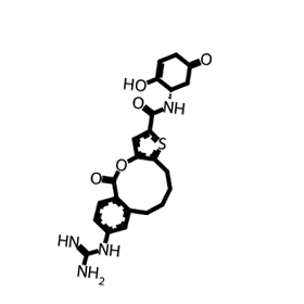 N=C(N)Nc1ccc2c(c1)CCCCc1sc(C(=O)N[C@H]3CC(=O)CC=C3O)cc1OC2=O